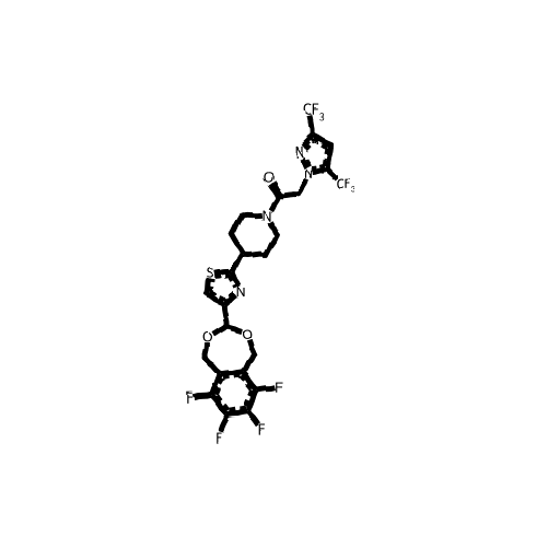 O=C(Cn1nc(C(F)(F)F)cc1C(F)(F)F)N1CCC(c2nc(C3OCc4c(F)c(F)c(F)c(F)c4CO3)cs2)CC1